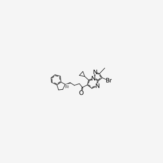 Cc1nn2c(C3CC3)c(C(=O)CCC[C@H]3CCc4ccccc43)cnc2c1Br